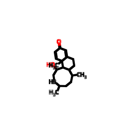 CC1BCC(O)C2C(CCC3=CC(=O)C=CC32C)C(C)CC1